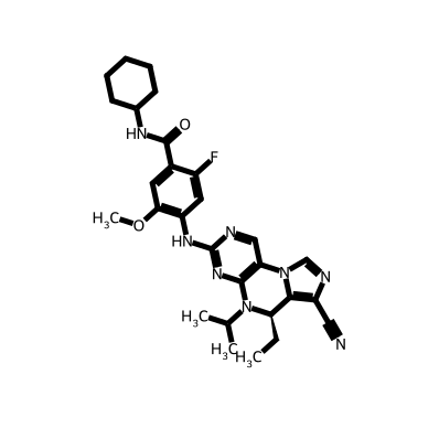 CC[C@@H]1c2c(C#N)ncn2-c2cnc(Nc3cc(F)c(C(=O)NC4CCCCC4)cc3OC)nc2N1C(C)C